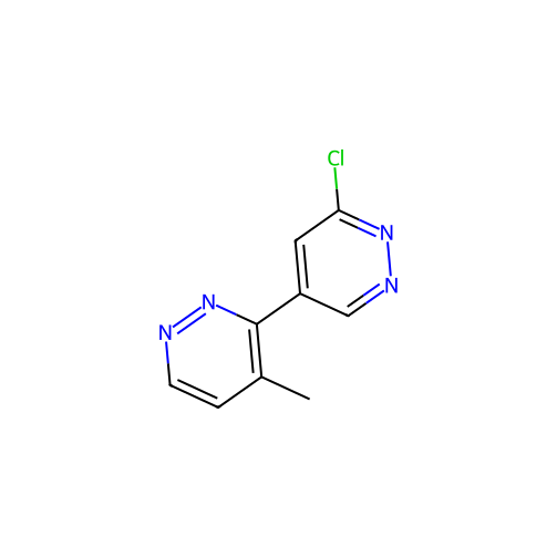 Cc1ccnnc1-c1cnnc(Cl)c1